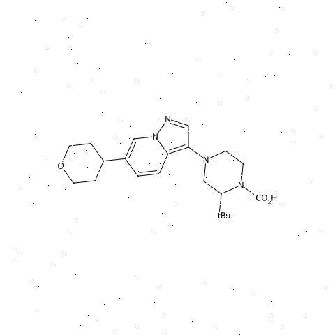 CC(C)(C)C1CN(c2cnn3cc(C4CCOCC4)ccc23)CCN1C(=O)O